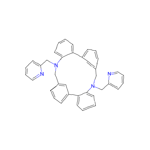 c1ccc(CN2Cc3cccc(c3)-c3ccccc3N(Cc3ccccn3)Cc3cccc(c3)-c3ccccc32)nc1